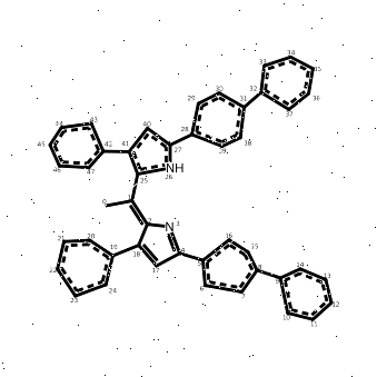 C/C(=C1/N=C(c2ccc(-c3ccccc3)cc2)C=C1c1ccccc1)c1[nH]c(-c2ccc(-c3ccccc3)cc2)cc1-c1ccccc1